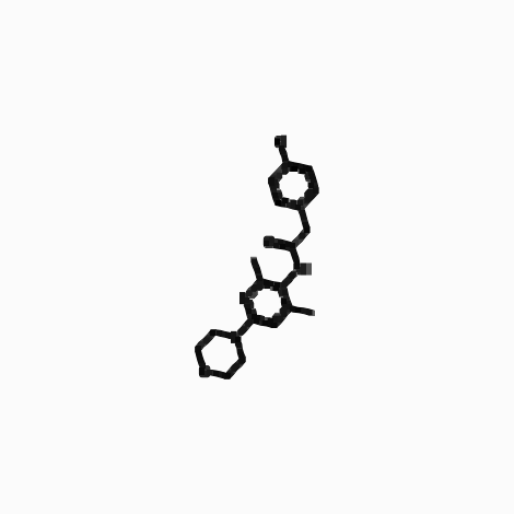 Cc1cc(N2CCOCC2)nc(C)c1NC(=O)Cc1ccc(Cl)cc1